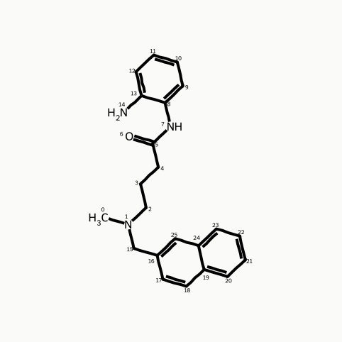 CN(CCCC(=O)Nc1ccccc1N)Cc1ccc2ccccc2c1